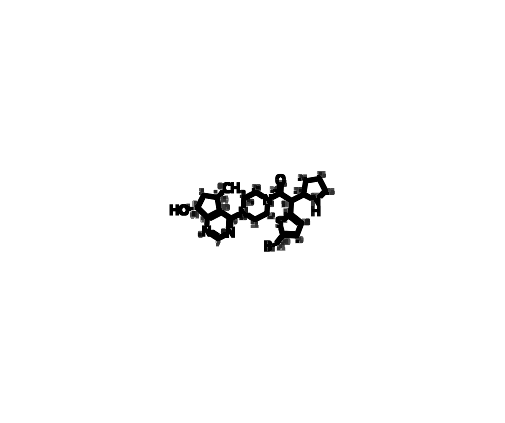 C[C@@H]1C[C@@H](O)c2ncnc(N3CCN(C(=O)C(c4ccc(Br)s4)C4CCCN4)CC3)c21